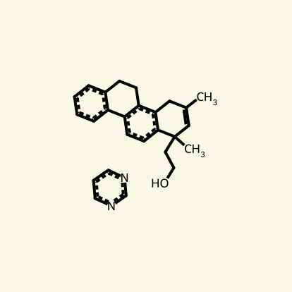 CC1=CC(C)(CCO)c2ccc3c(c2C1)CCc1ccccc1-3.c1cncnc1